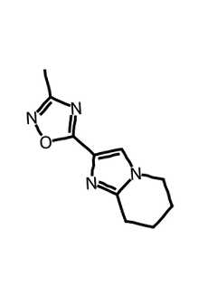 Cc1noc(-c2cn3c(n2)CCCC3)n1